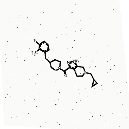 O=C(c1n[nH]c2c1CCN(CC1CC1)C2)N1CCC(Cc2cccc(F)c2C(F)(F)F)CC1